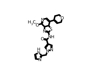 COC1=NC=C(C2=CCOCC2)C2SC(NC(=O)c3cnn(Cc4ncc[nH]4)c3)=NC12